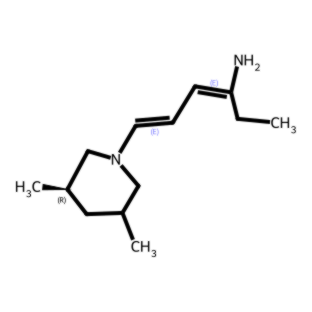 CC/C(N)=C\C=C\N1CC(C)C[C@@H](C)C1